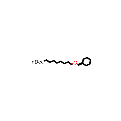 CCCCCCCCCCCCCCCCCCOC=C1CCCCC1